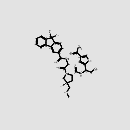 COC[C@@]1(F)C[C@@H](C(=O)NC(CO)c2cc(C(=N)N)cs2)N(C(=O)CNC(=O)c2ccc3c(c2)-c2ccccc2C3(F)F)C1